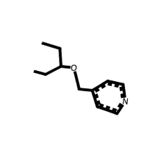 CCC(CC)OCc1ccncc1